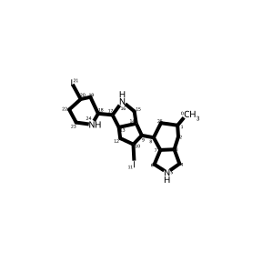 CC1CC2CNCC2C(C2C(I)CC3C2CNC3C2CC(I)CCN2)C1